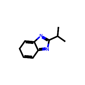 CC(C)C1=NC2=CCC=CC2=N1